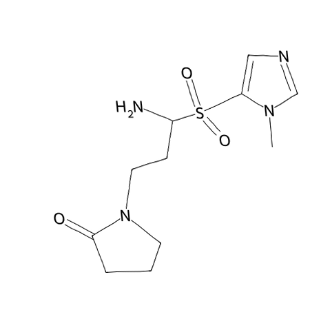 Cn1cncc1S(=O)(=O)C(N)CCN1CCCC1=O